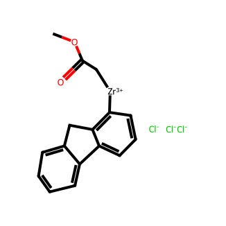 COC(=O)[CH2][Zr+3][c]1cccc2c1Cc1ccccc1-2.[Cl-].[Cl-].[Cl-]